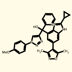 COc1ccc(-n2cc(C(O)(c3ccccn3)c3cc(-c4c(C)noc4C)cc4[nH]c(C5CC5)nc34)nn2)cc1